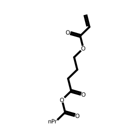 C=CC(=O)OCCCC(=O)OC(=O)CCC